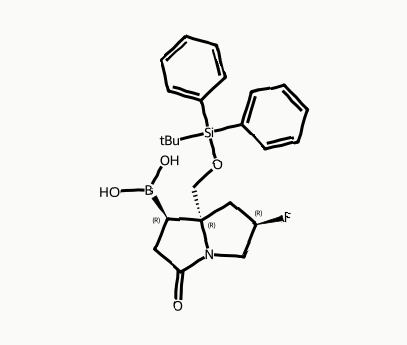 CC(C)(C)[Si](OC[C@]12C[C@@H](F)CN1C(=O)C[C@H]2B(O)O)(c1ccccc1)c1ccccc1